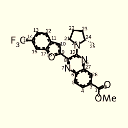 COC(=O)c1ccc2nc(-c3cc4ccc(C(F)(F)F)cc4o3)c(N3CCC[C@@H]3C)nc2c1